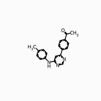 CC(=O)c1ccc(-c2cc(Nc3ccc(C)cc3)ncn2)cc1